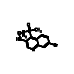 CNc1cnc2cc(Br)ccc2c1P(C)(C)=O